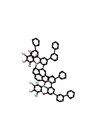 [2H]c1c([2H])c([2H])c(N(c2c(F)cc(-c3cccc(-c4ccccc4)c3)cc2-c2cccc(-c3ccccc3)c2)c2ccc3ccc4c(N(c5c(F)cc(-c6cccc(-c7ccccc7)c6)cc5-c5cccc(-c6ccccc6)c5)c5c([2H])c([2H])c([2H])c([2H])c5[2H])ccc5ccc2c3c54)c([2H])c1[2H]